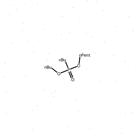 CCCCCOP(=O)(CCCC)OCCCC